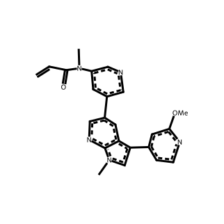 C=CC(=O)N(C)c1cncc(-c2cnc3c(c2)c(-c2ccnc(OC)c2)cn3C)c1